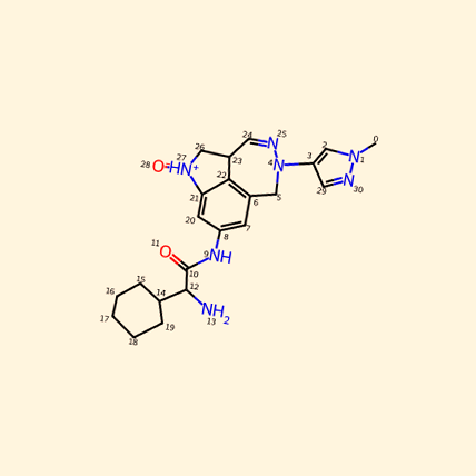 Cn1cc(N2Cc3cc(NC(=O)C(N)C4CCCCC4)cc4c3C(C=N2)C[NH+]4[O-])cn1